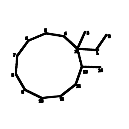 C[CH]C1(C)CCCCCCCCCC1C